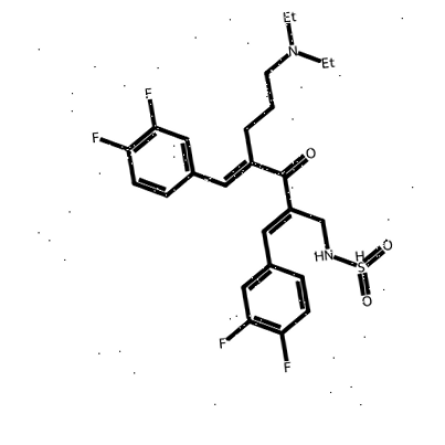 CCN(CC)CCC/C(=C\c1ccc(F)c(F)c1)C(=O)/C(=C/c1ccc(F)c(F)c1)CN[SH](=O)=O